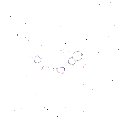 Cn1cc(C(=O)NCc2nc(-c3cc4c([N+](=O)[O-])cccc4n3CC(F)(F)F)no2)cn1